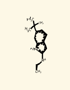 CCNc1cc2ccc(C(C)(C)C)cc2[nH]1